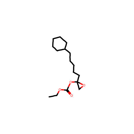 CCOC(=O)OC1(CCCCCC2CCCCC2)CO1